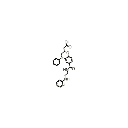 O=C(O)CC1CN(c2ccccc2)c2cc(C(=O)NCCNc3ccccn3)ccc2O1